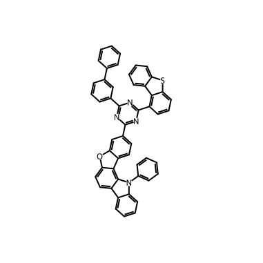 c1ccc(-c2cccc(-c3nc(-c4ccc5c(c4)oc4ccc6c7ccccc7n(-c7ccccc7)c6c45)nc(-c4cccc5sc6ccccc6c45)n3)c2)cc1